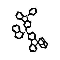 c1ccc(-n2c3ccccc3c3cc(N(c4ccc5c(c4)-c4ccccc4C54C5CC6CC(C5)CC4C6)c4cccc5ccccc45)ccc32)cc1